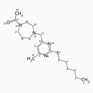 CCCCCCSc1nc(C)cc(CN2CCCN(C(C)=O)CC2)n1